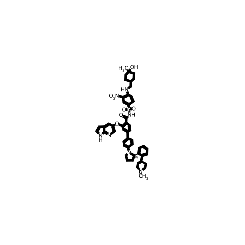 CN1CC=C(c2ccccc2[C@H]2CCCN2c2ccc(-c3ccc(C(=O)NS(=O)(=O)c4ccc(NCC5CCC(C)(O)CC5)c([N+](=O)[O-])c4)c(Oc4cnc5[nH]ccc5c4)c3)cc2)CC1